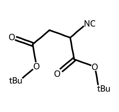 [C-]#[N+]C(CC(=O)OC(C)(C)C)C(=O)OC(C)(C)C